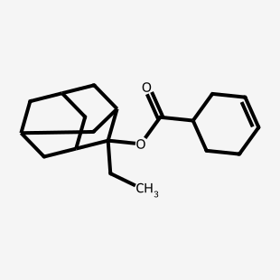 CCC1(OC(=O)C2CC=CCC2)C2CC3CC(C2)CC1C3